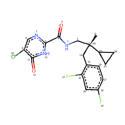 C[C@](CNC(=O)c1ncc(Cl)c(=O)[nH]1)(Cc1ccc(F)cc1F)C1CC1